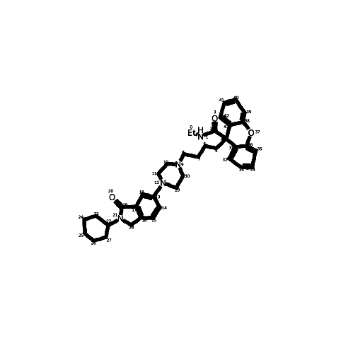 CCNC(=O)C1(CCCCN2CCN(c3ccc4c(c3)C(=O)N(C3CCCCC3)C4)CC2)c2ccccc2Oc2ccccc21